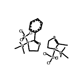 CC1=BCC[N+]1([Si](C)(C)C)[Zr]([Cl])([Cl])[Cl].C[Si](C)(C)[N+]1([Zr]([Cl])([Cl])[Cl])CCB=C1c1ccccc1